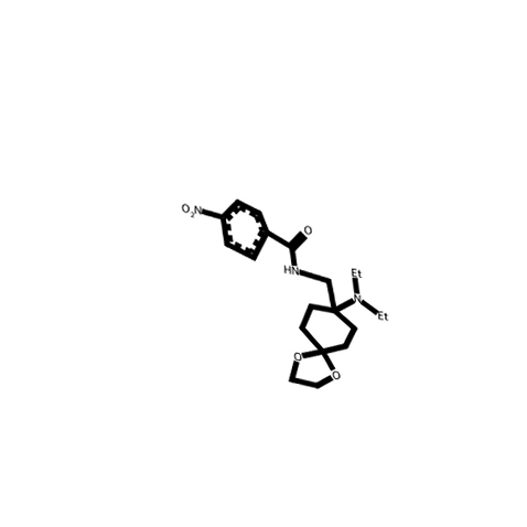 CCN(CC)C1(CNC(=O)c2ccc([N+](=O)[O-])cc2)CCC2(CC1)OCCO2